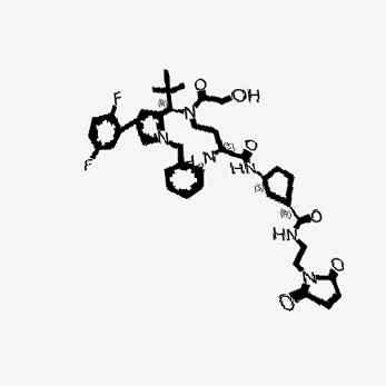 CC(C)(C)[C@H](c1cc(-c2cc(F)ccc2F)cn1Cc1ccccc1)N(CC[C@H](N)C(=O)N[C@H]1CC[C@@H](C(=O)NCCN2C(=O)C=CC2=O)C1)C(=O)CO